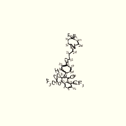 CC1N(OC(=O)C(F)(F)F)c2cccc(C(F)(F)F)c2C(=O)N1c1ccc(OCCCN2CCC(F)(F)CC2)cc1